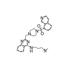 CN(C)CCCNc1nc(CN2CCN(S(=O)(=O)c3cccc4ccncc34)CC2)nc2ccccc12